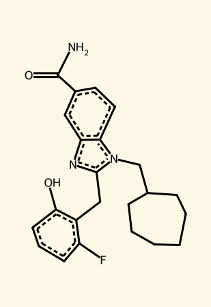 NC(=O)c1ccc2c(c1)nc(Cc1c(O)cccc1F)n2CC1CCCCCC1